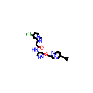 O=C(Cc1ncn2ccc(Cl)cc12)Nc1cnnc(OCc2cn3cc(C4CC4)ccc3n2)c1